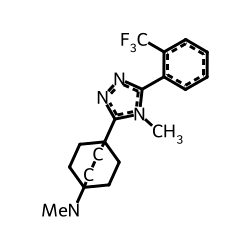 CNC12CCC(c3nnc(-c4ccccc4C(F)(F)F)n3C)(CC1)CC2